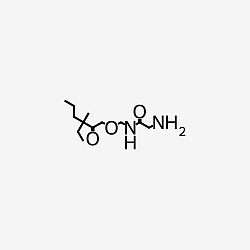 CCCC(C)(CC)C(=O)COCNC(=O)CN